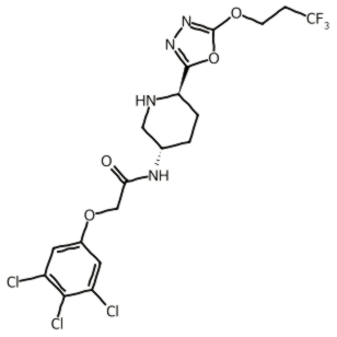 O=C(COc1cc(Cl)c(Cl)c(Cl)c1)N[C@H]1CC[C@H](c2nnc(OCCC(F)(F)F)o2)NC1